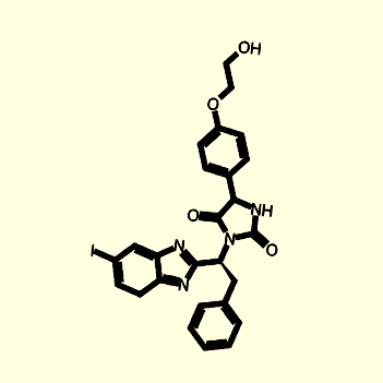 O=C1NC(c2ccc(OCCO)cc2)C(=O)N1[C@@H](Cc1ccccc1)C1=NC2=CC(I)=CCC2=N1